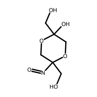 O=NC1(CO)COC(O)(CO)CO1